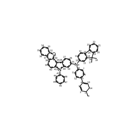 CC1C=CC(c2ccc(N(c3ccc4c(c3)C(C)(C)c3ccccc3-4)c3ccc4c5c6oc7ccccc7c6ccc5n(-c5ccccc5)c4c3)cc2)=CC1